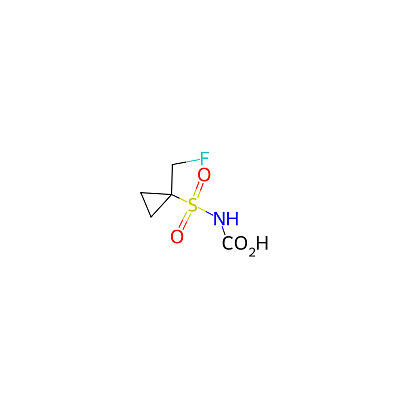 O=C(O)NS(=O)(=O)C1(CF)CC1